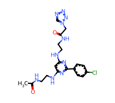 CC(=O)NCCNc1cc(NCCNC(=O)Cn2cnnn2)nc(-c2ccc(Cl)cc2)n1